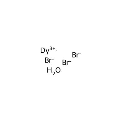 O.[Br-].[Br-].[Br-].[Dy+3]